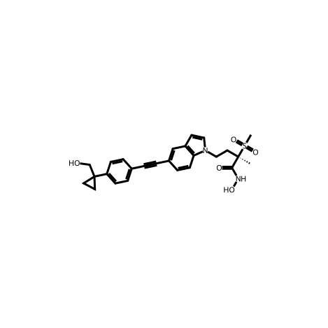 C[C@@](CCn1ccc2cc(C#Cc3ccc(C4(CO)CC4)cc3)ccc21)(C(=O)NO)S(C)(=O)=O